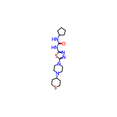 O=C(Nc1nnc(N2CCN(C3CCSCC3)CC2)s1)NC1CCCC1